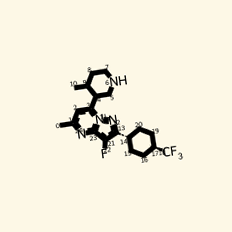 Cc1cc(C2CNCCC2C)n2nc([C@H]3CC[C@H](C(F)(F)F)CC3)c(F)c2n1